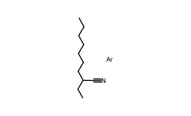 CCCCCCCC(C#N)CC.[Ar]